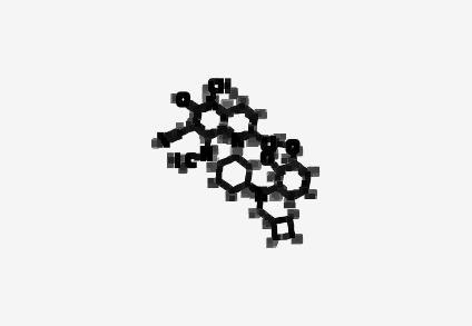 Cn1c(=O)c(C#N)c(N(C)[C@H]2CC[C@H](N(CC3CCC3)c3cccc4c3OCO4)CC2)c2nc(Cl)ccc21